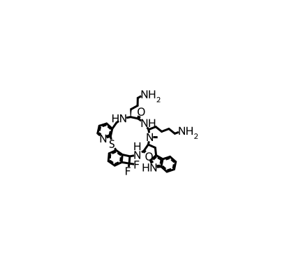 CN1C(CCCCN)NC(=O)[C@H](CCCN)NCc2cccnc2Sc2cccc3c2C(NC(=O)C1Cc1c[nH]c2ccccc12)C3(F)F